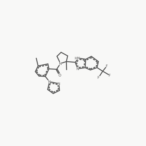 Cc1ccc(-n2cccn2)c(C(=O)N2CCCC2(C)c2nc3cc(C(F)(F)F)ccc3[nH]2)c1